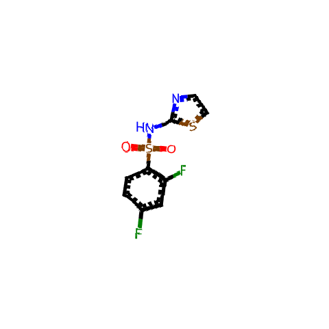 O=S(=O)(Nc1nccs1)c1ccc(F)cc1F